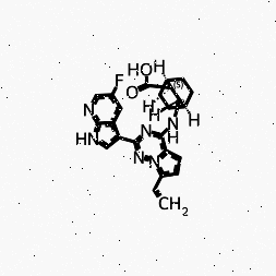 C=Cc1ccc2c(N[C@H]3[C@H]4CC[C@H](CC4)[C@@H]3C(=O)O)nc(-c3c[nH]c4ncc(F)cc34)nn12